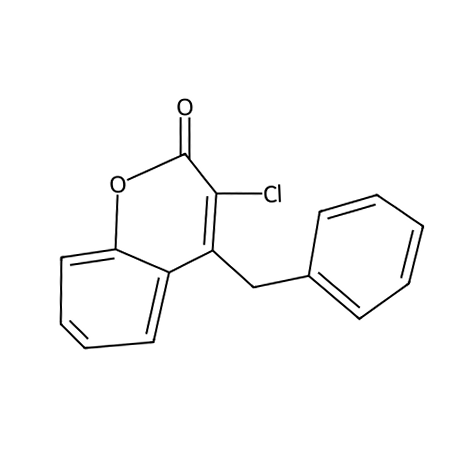 O=c1oc2ccccc2c(Cc2ccccc2)c1Cl